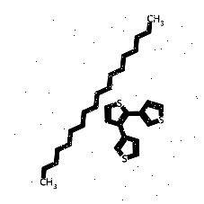 CCCCCCCCCCCCCCCCCC.c1cc(-c2ccsc2-c2ccsc2)cs1